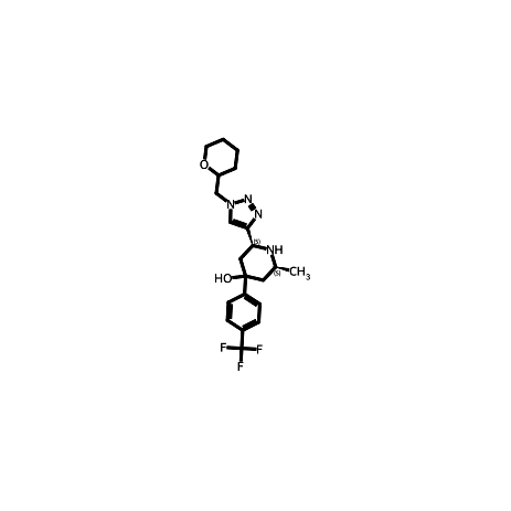 C[C@H]1CC(O)(c2ccc(C(F)(F)F)cc2)C[C@@H](c2cn(CC3CCCCO3)nn2)N1